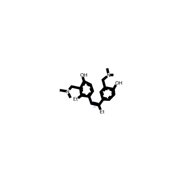 CC/C(=C/c1ccc(O)c(CN(C)C)c1CC)c1ccc(O)c(CN(C)C)c1